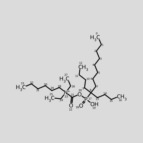 CCCCCCCCC(CCCC)(CCCC)P(=O)(O)OC(=O)[N+](CC)(CC)CCCCCC